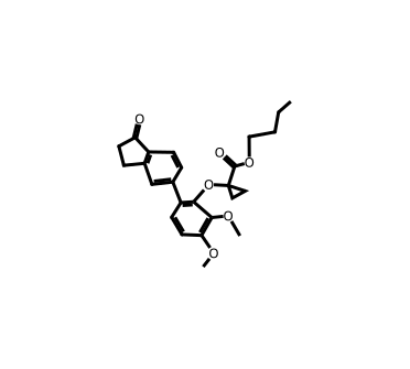 CCCCOC(=O)C1(Oc2c(-c3ccc4c(c3)CCC4=O)ccc(OC)c2OC)CC1